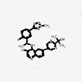 CC(Nc1c(Cl)cnc2ccc(-c3cnc(C(C)(C)O)nc3)cc12)c1cc(-c2nnn(C)n2)ccc1F